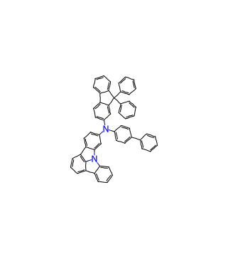 c1ccc(-c2ccc(N(c3ccc4c(c3)C(c3ccccc3)(c3ccccc3)c3ccccc3-4)c3ccc4c5cccc6c7ccccc7n(c4c3)c65)cc2)cc1